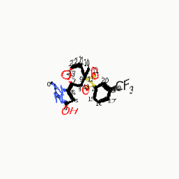 Cn1nc(O)cc1C1CC(C)(S(=O)(=O)c2cccc(C(F)(F)F)c2)CCO1